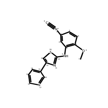 [C-]#[N+]c1ccc(OC)c(Nc2nc(-c3cccnc3)cs2)c1